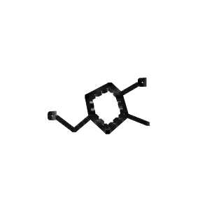 Cc1cc(CCl)ccc1Cl